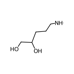 [NH]CCCC(O)CO